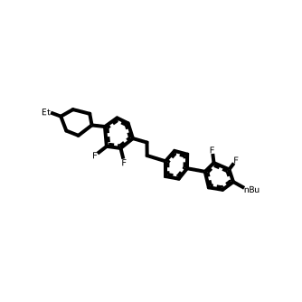 CCCCc1ccc(-c2ccc(CCc3ccc(C4CCC(CC)CC4)c(F)c3F)cc2)c(F)c1F